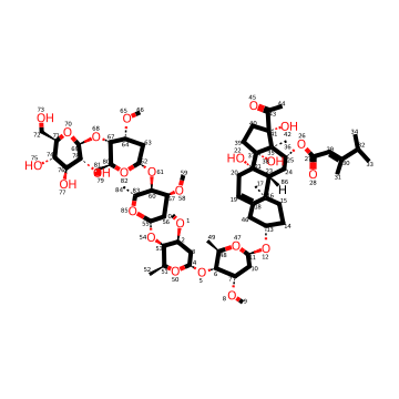 CO[C@H]1C[C@H](O[C@H]2[C@@H](OC)C[C@H](O[C@H]3CC[C@@]4(C)C(=CC[C@]5(O)[C@@H]4C[C@@H](OC(=O)/C=C(\C)C(C)C)[C@@]4(C)[C@]5(O)CC[C@@]4(O)C(C)=O)C3)O[C@@H]2C)O[C@@H](C)[C@H]1O[C@H]1C[C@H](OC)[C@H](O[C@H]2C[C@@H](OC)[C@@H](O[C@@H]3O[C@H](CO)[C@@H](O)[C@H](O)[C@H]3O)[C@H](C)O2)[C@@H](C)O1